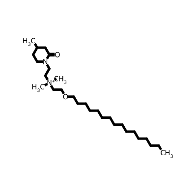 CCCCCCCCCCCCCCCCOCC[N+](C)(C)CCN1CCC(C)CC1=O